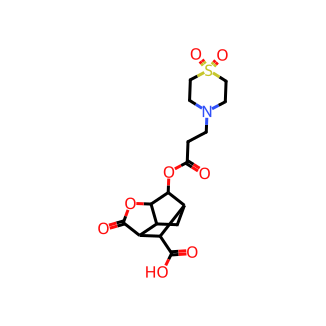 O=C(CCN1CCS(=O)(=O)CC1)OC1C2CC3C1OC(=O)C3C2C(=O)O